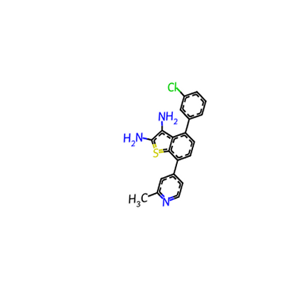 Cc1cc(-c2ccc(-c3cccc(Cl)c3)c3c(N)c(N)sc23)ccn1